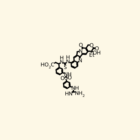 CC[C@@]1(O)C(=O)OCc2c1cc1n(c2=O)Cc2cc3c(NC(=S)NC(CC(=O)O)c4cccc(NS(=O)(=O)c5cccc(NC(=N)N)c5)c4)cccc3nc2-1